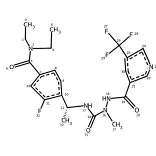 CCN(CC)C(=O)c1ccc([C@@H](C)NC(=O)N(C)NC(=O)c2cncc(C(F)(F)F)c2)c(F)c1